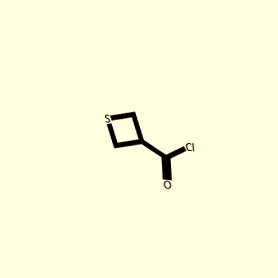 O=C(Cl)C1CSC1